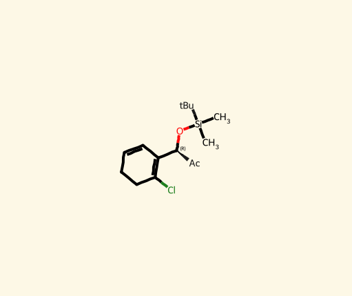 CC(=O)[C@H](O[Si](C)(C)C(C)(C)C)C1=C(Cl)CCC=C1